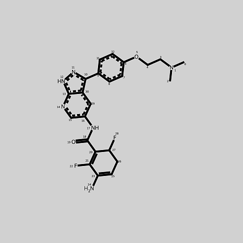 CN(C)CCOc1ccc(-c2n[nH]c3ncc(NC(=O)C4=C(F)C(N)=CCC4F)cc23)cc1